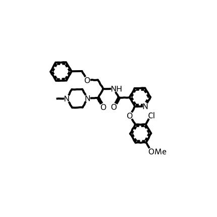 COc1ccc(Oc2ncccc2C(=O)NC(COCc2ccccc2)C(=O)N2CCN(C)CC2)c(Cl)c1